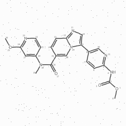 COC(=O)Nc1ccc(-c2cnc3ccc(C(=O)N(C)c4ccnc(OC)c4)cn23)cn1